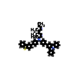 C=C/C=C\C(=C)C(=C)/C=C\C(=C)N(c1ccc(-c2ccc3sc4ccccc4c3c2)cc1)c1ccc(-c2cc3c4ccccc4n4c5ccccc5c(c2)c34)cc1